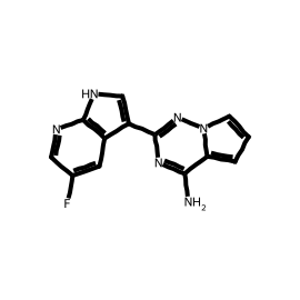 Nc1nc(-c2c[nH]c3ncc(F)cc23)nn2cccc12